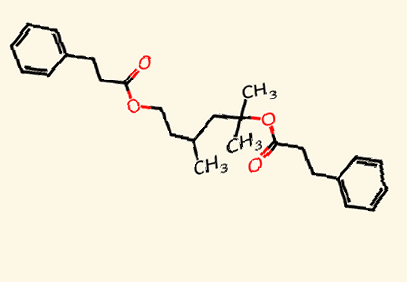 CC(CCOC(=O)CCc1ccccc1)CC(C)(C)OC(=O)CCc1ccccc1